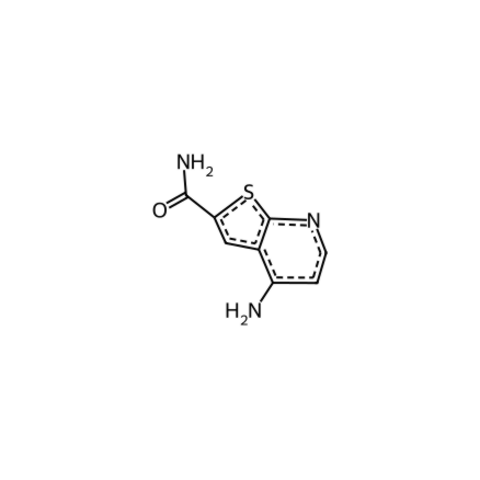 NC(=O)c1cc2c(N)ccnc2s1